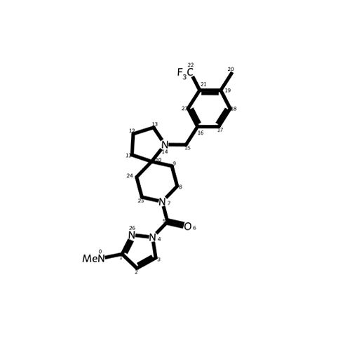 CNc1ccn(C(=O)N2CCC3(CCCN3Cc3ccc(C)c(C(F)(F)F)c3)CC2)n1